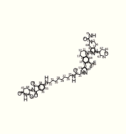 CNC(=O)N1CCc2c(c(N3CCCc4cc(-c5cnn(CC(=O)NCCCCCCCCNc6ccc7c(c6)C(=O)N(C6CCC(=O)NC6=O)C7=O)c5)c(C(F)F)cc43)nn2C2CCOCC2)C1